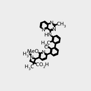 COc1nc(-c2cccc(-c3cccc(Nc4nc(C)nc5cccnc45)c3C)c2Cl)ccc1C1N(C)CC1(C)C(=O)O